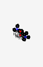 Cc1ccccc1N(c1ccccc1)c1ccc2c3c(ccc2c1)-c1c(cc(N(c2ccccc2)c2ccccc2C)c2ccccc12)C3([Si](C)(C)C)[Si](C)(C)C